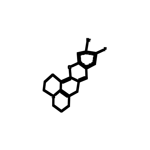 Fc1cc2c(cc1Br)OC1=C3CCCN4CCCC(=C34)CC1=C2